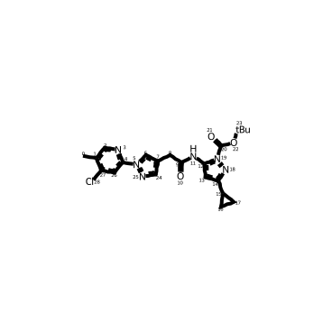 Cc1cnc(-n2cc(CC(=O)Nc3cc(C4CC4)nn3C(=O)OC(C)(C)C)cn2)cc1Cl